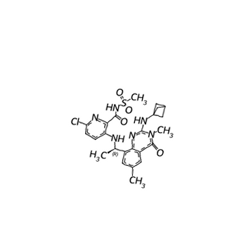 Cc1cc([C@@H](C)Nc2ccc(Cl)nc2C(=O)NS(C)(=O)=O)c2nc(NC34CC(C3)C4)n(C)c(=O)c2c1